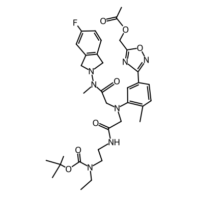 CCN(CCNC(=O)CN(CC(=O)N(C)N1Cc2ccc(F)cc2C1)c1cc(-c2noc(COC(C)=O)n2)ccc1C)C(=O)OC(C)(C)C